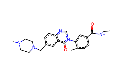 CCNC(=O)c1ccc(C)c(-n2cnc3ccc(CN4CCN(C)CC4)cc3c2=O)c1